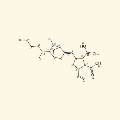 C=CC1CC(/C=C2\CC3CC2C(C)C3C(C)CCCC)C(C(=O)O)C1C(=O)O